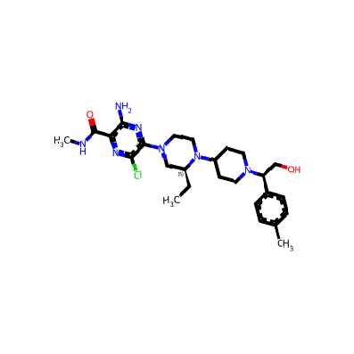 CC[C@H]1CN(c2nc(N)c(C(=O)NC)nc2Cl)CCN1C1CCN(C(CO)c2ccc(C)cc2)CC1